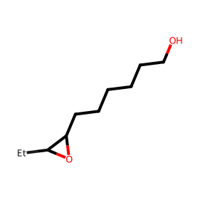 CCC1OC1CCCCCCO